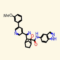 COc1cccc(-c2cncc(C3=NOC4(C(=O)Nc5ccc6[nH]ncc6c5)C5CCC(C5)C34)c2)c1